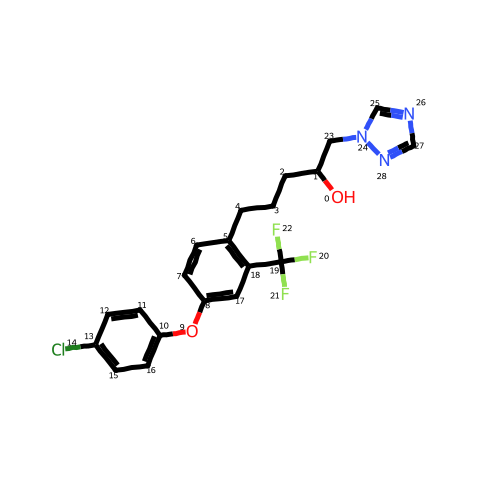 OC(CCCc1ccc(Oc2ccc(Cl)cc2)cc1C(F)(F)F)Cn1cncn1